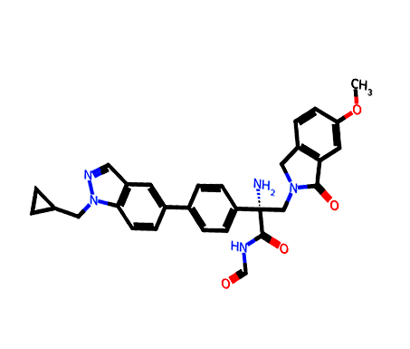 COc1ccc2c(c1)C(=O)N(C[C@@](N)(C(=O)NC=O)c1ccc(-c3ccc4c(cnn4CC4CC4)c3)cc1)C2